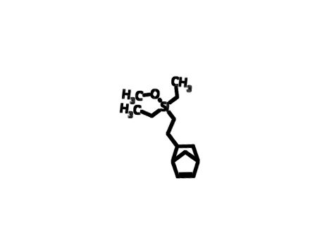 CC[Si](CC)(CCC1CC2C=CC1C2)OC